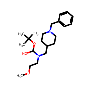 COCCN(CC1CCN(Cc2ccccc2)CC1)C(O)OC(C)(C)C